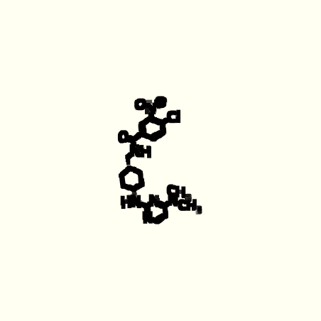 CN(C)c1ccnc(N[C@H]2CC[C@@H](CNC(=O)c3ccc(Cl)c([N+](=O)[O-])c3)CC2)n1